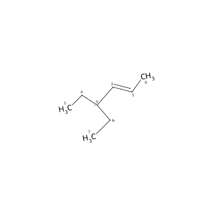 CC=C[C](CC)CC